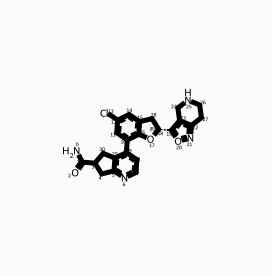 NC(=O)C1Cc2nccc(-c3cc(Cl)cc4c3O[C@@H](c3onc5c3CNCC5)C4)c2C1